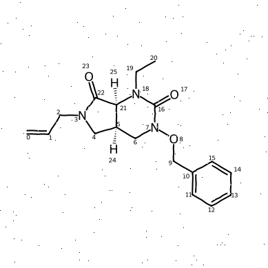 C=CCN1C[C@@H]2CN(OCc3ccccc3)C(=O)N(CC)[C@@H]2C1=O